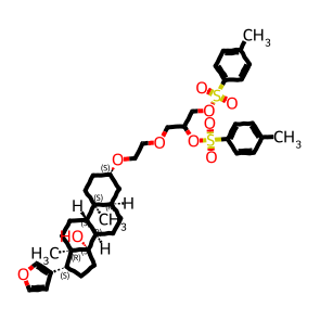 Cc1ccc(S(=O)(=O)OCC(COCCO[C@H]2CC[C@@]3(C)[C@H](CC[C@@H]4[C@@H]3CC[C@]3(C)[C@@H](c5ccoc5)CC[C@]43O)C2)OS(=O)(=O)c2ccc(C)cc2)cc1